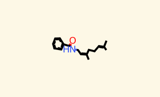 CC(C)=CCCC(C)=CCNC(=O)c1ccccc1